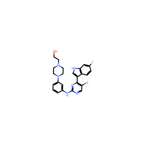 OCCN1CCN(c2cccc(Nc3ncc(Cl)c(-c4c[nH]c5cc(F)ccc45)n3)c2)CC1